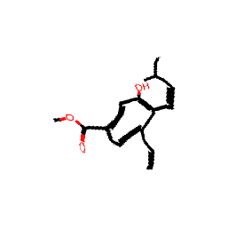 C=Cc1cc(C(=O)OC)cc(O)c1/C=C\C(C)C